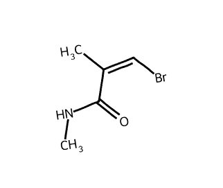 CNC(=O)/C(C)=C\Br